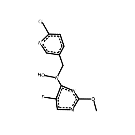 COc1ncc(F)c(N(O)Cc2ccc(Cl)nc2)n1